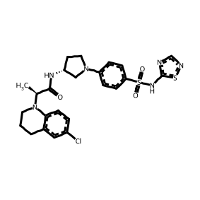 C[C@@H](C(=O)N[C@@H]1CCN(c2ccc(S(=O)(=O)Nc3ncns3)cc2)C1)N1CCCc2cc(Cl)ccc21